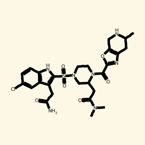 CC1Cc2nc(C(=O)N3CCN(S(=O)(=O)c4[nH]c5ccc(Cl)cc5c4CC(N)=O)CC3CC(=O)N(C)C)oc2CN1